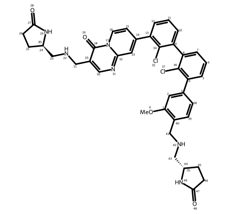 COc1cc(-c2cccc(-c3cccc(-c4ccn5c(=O)c(CNC[C@H]6CCC(=O)N6)cnc5c4)c3Cl)c2Cl)ccc1CNC[C@@H]1CCC(=O)N1